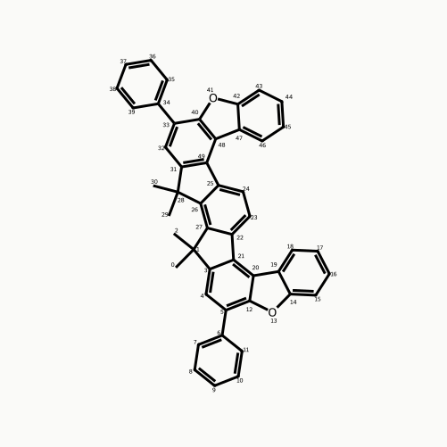 CC1(C)c2cc(-c3ccccc3)c3oc4ccccc4c3c2-c2ccc3c(c21)C(C)(C)c1cc(-c2ccccc2)c2oc4ccccc4c2c1-3